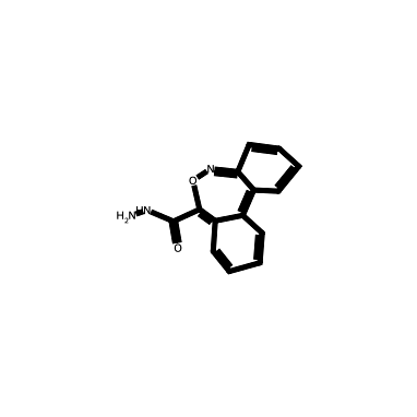 NNC(=O)C1=c2ccccc2=c2ccccc2=NO1